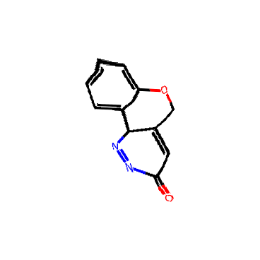 O=C1C=C2COc3ccccc3C2N=N1